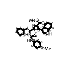 COC(=O)c1nc([C@H](Cc2ccccc2)NC(=S)Nc2ccc(OC)cc2)oc1-c1c[nH]c2ccccc12